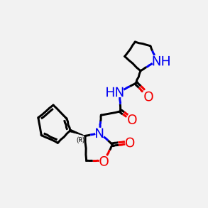 O=C(CN1C(=O)OC[C@H]1c1ccccc1)NC(=O)C1CCCN1